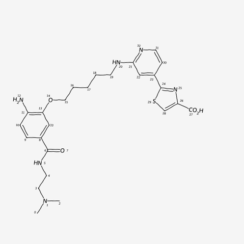 CN(C)CCNC(=O)c1ccc(N)c(OCCCCCNc2cc(-c3nc(C(=O)O)cs3)ccn2)c1